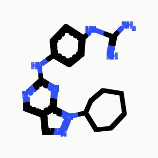 N=C(N)Nc1ccc(Nc2ncc3cnn(C4CCCCCC4)c3n2)cc1